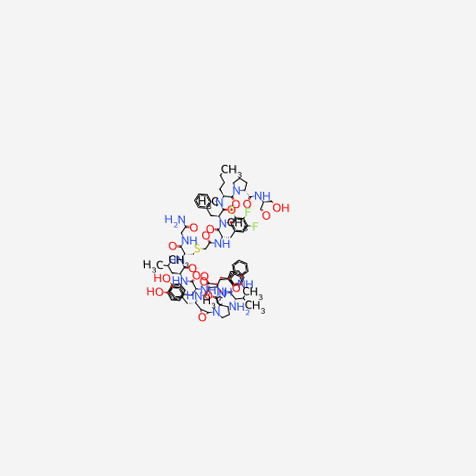 CCCC[C@@H](C(=O)N1CCC[C@@H]1C(=O)N[C@H](C=O)CO)N(C)C(=O)[C@H](Cc1ccccc1)N(C)C(=O)[C@H](Cc1cc(F)c(F)c(F)c1)NC(=O)CSC[C@H](NC(=O)[C@H](CC(C)C)NC(=O)[C@H](Cc1ccc(O)cc1)NC(=O)[C@H](Cc1c[nH]c2ccccc12)NC(=O)[C@H]1CCCN1C1OC1[C@H](Cc1ccc(O)cc1)NCC(=O)C(Cc1ccccc1)N(C)C(=O)[C@@H](N)C(C)C)C(=O)NCC(N)=O